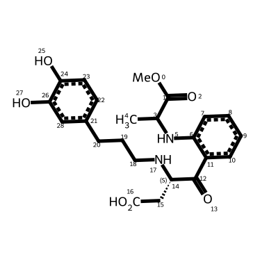 COC(=O)C(C)Nc1ccccc1C(=O)[C@H](CC(=O)O)NCCCc1ccc(O)c(O)c1